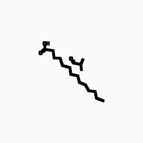 CC(C)C=O.CCCCCCCCCCCCCC(=O)O